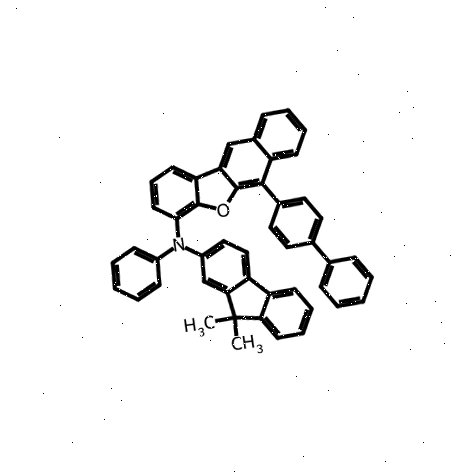 CC1(C)c2ccccc2-c2ccc(N(c3ccccc3)c3cccc4c3oc3c(-c5ccc(-c6ccccc6)cc5)c5ccccc5cc34)cc21